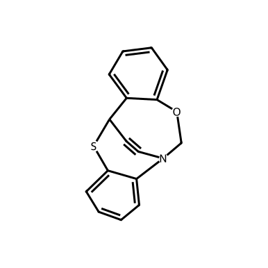 C1#CN2COc3ccccc3C1Sc1ccccc12